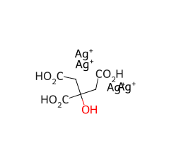 O=C(O)CC(O)(CC(=O)O)C(=O)O.[Ag+].[Ag+].[Ag+].[Ag+]